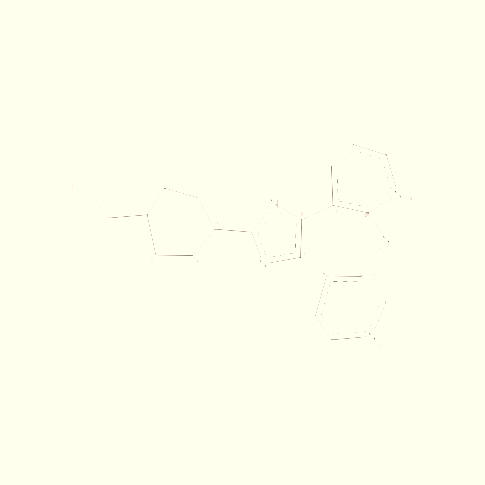 OCC1CCC(c2nc3c([nH]2)-c2ccncc2Nc2ncccc2-3)CC1